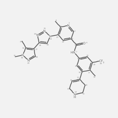 Cc1ncc(C(=O)Nc2cc(C3=CCNCC3)c(C)c(C(F)(F)F)c2)cc1-n1cc(-c2cnn(C)c2C)nn1